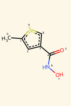 Cc1cc(C(=O)NO)cs1